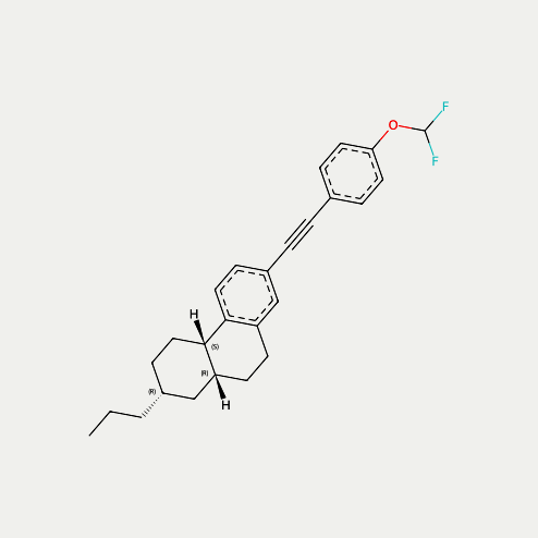 CCC[C@@H]1CC[C@@H]2c3ccc(C#Cc4ccc(OC(F)F)cc4)cc3CC[C@@H]2C1